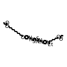 C=CC(=O)OCCCCCCCCCCCOc1ccc(/N=N/c2cc3sc(/N=N/c4ccc(N(CC)CCCCCCOC(=O)C=C)cc4)nc3s2)cc1